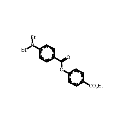 CCOC(=O)c1ccc(OC(=O)c2ccc(N(CC)CC)cc2)cc1